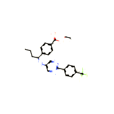 CCCC(Nc1cnc(-c2ccc(C(F)(F)F)cc2)nc1)c1ccc(C(=O)OCC)cc1